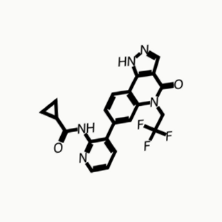 O=C(Nc1ncccc1-c1ccc2c3[nH]ncc3c(=O)n(CC(F)(F)F)c2c1)C1CC1